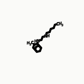 CCCCCCNCCNC1C(C)CC2CCCC1C2